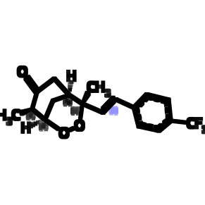 C[C@H]1C(=O)C[C@@H]2C[C@H]1OO[C@@]2(C)/C=C/c1ccc(C(F)(F)F)cc1